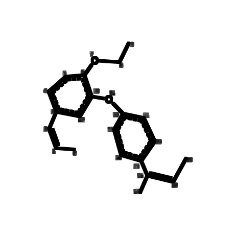 C/C=C\c1ccc(OCC)c(Oc2ccc(/C(C)=C\C)cc2)c1